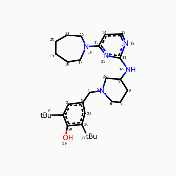 CC(C)(C)c1cc(CN2CCCC(Nc3nccc(N4CCCCCC4)n3)C2)cc(C(C)(C)C)c1O